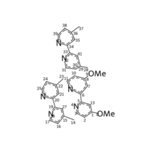 COc1ccnc(-c2cc(OC)ccn2)c1.Cc1ccnc(-c2cc(C)ccn2)c1.Cc1ccnc(-c2cc(C)ccn2)c1